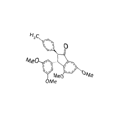 COc1cc(OC)cc([C@H]2c3c(OC)cc(OC)cc3C(=O)[C@@H]2c2ccc(C)cc2)c1